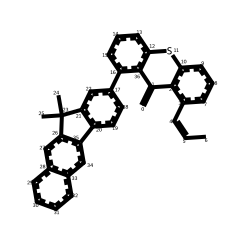 C=C1c2c(/C=C\C)cccc2Sc2cccc(-c3ccc4c(c3)C(C)(C)c3cc5ccccc5cc3-4)c21